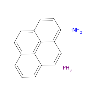 Nc1ccc2ccc3cccc4ccc1c2c34.P